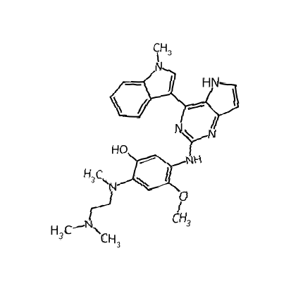 COc1cc(N(C)CCN(C)C)c(O)cc1Nc1nc(-c2cn(C)c3ccccc23)c2[nH]ccc2n1